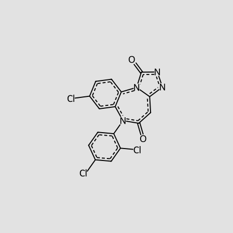 O=c1cc2nnc(=O)n-2c2ccc(Cl)cc2n1-c1ccc(Cl)cc1Cl